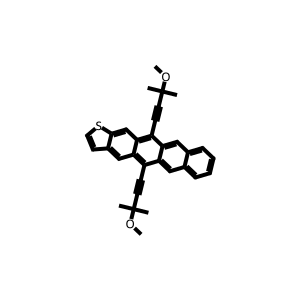 COC(C)(C)C#Cc1c2cc3ccccc3cc2c(C#CC(C)(C)OC)c2cc3sccc3cc12